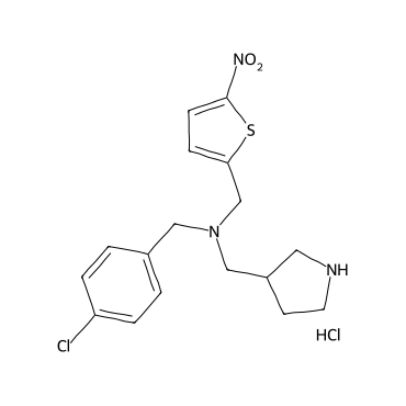 Cl.O=[N+]([O-])c1ccc(CN(Cc2ccc(Cl)cc2)CC2CCNC2)s1